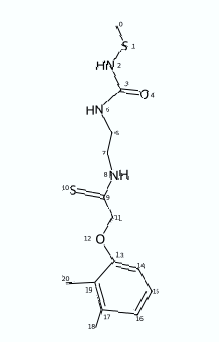 CSNC(=O)NCCNC(=S)COc1cccc(C)c1C